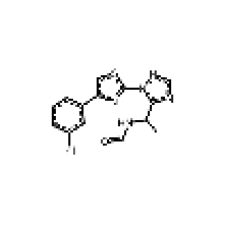 CC(NC=O)c1ncnn1-c1nc(-c2cccc(Cl)c2)cs1